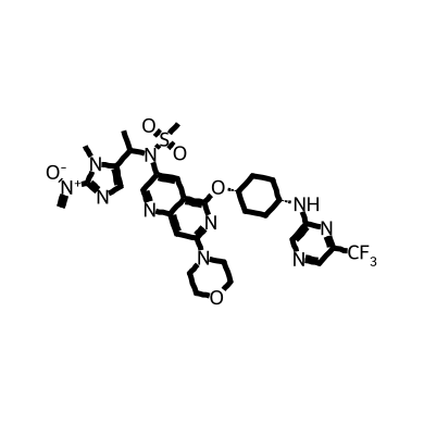 C=[N+]([O-])c1ncc(C(C)N(c2cnc3cc(N4CCOCC4)nc(O[C@H]4CC[C@@H](Nc5cncc(C(F)(F)F)n5)CC4)c3c2)S(C)(=O)=O)n1C